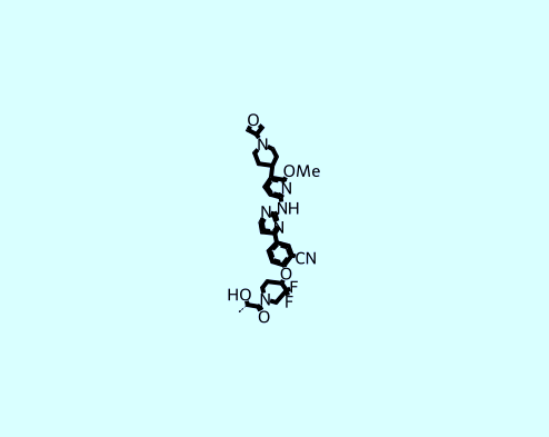 COc1nc(Nc2nccc(-c3ccc(OC4CCN(C(=O)[C@H](C)O)CC4(F)F)c(C#N)c3)n2)ccc1C1CCN(C2COC2)CC1